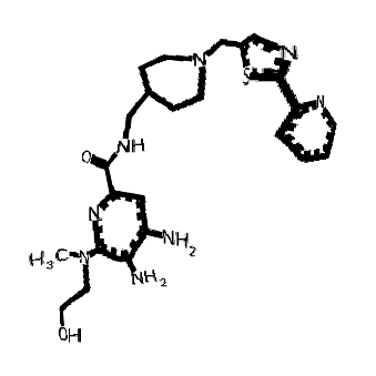 CN(CCO)c1nc(C(=O)NCC2CCN(Cc3cnc(-c4ccccn4)s3)CC2)cc(N)c1N